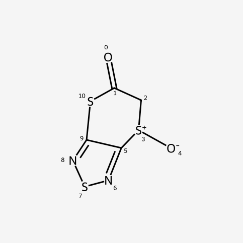 O=C1C[S+]([O-])c2nsnc2S1